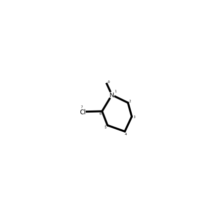 CN1CCC[CH]C1Cl